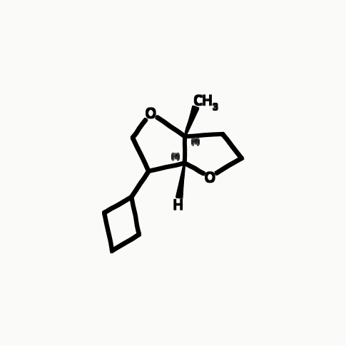 C[C@@]12CCO[C@@H]1C(C1CCC1)CO2